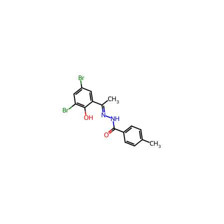 C/C(=N\NC(=O)c1ccc(C)cc1)c1cc(Br)cc(Br)c1O